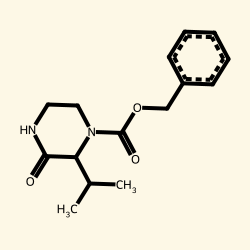 CC(C)C1C(=O)NCCN1C(=O)OCc1ccccc1